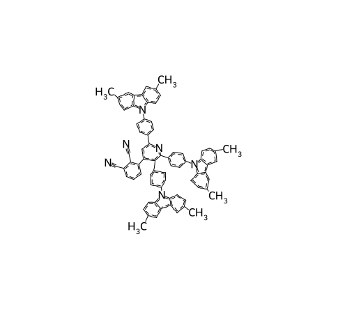 Cc1ccc2c(c1)c1cc(C)ccc1n2-c1ccc(-c2cc(-c3cccc(C#N)c3C#N)c(-c3ccc(-n4c5ccc(C)cc5c5cc(C)ccc54)cc3)c(-c3ccc(-n4c5ccc(C)cc5c5cc(C)ccc54)cc3)n2)cc1